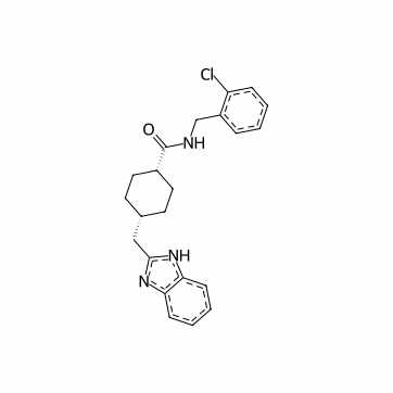 O=C(NCc1ccccc1Cl)[C@H]1CC[C@@H](Cc2nc3ccccc3[nH]2)CC1